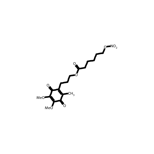 COC1=C(OC)C(=O)C(CCCOC(=O)CCCCCO[N+](=O)[O-])=C(C)C1=O